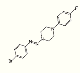 Fc1ccc(N2CCN(/N=N/c3ccc(Br)cc3)CC2)cc1